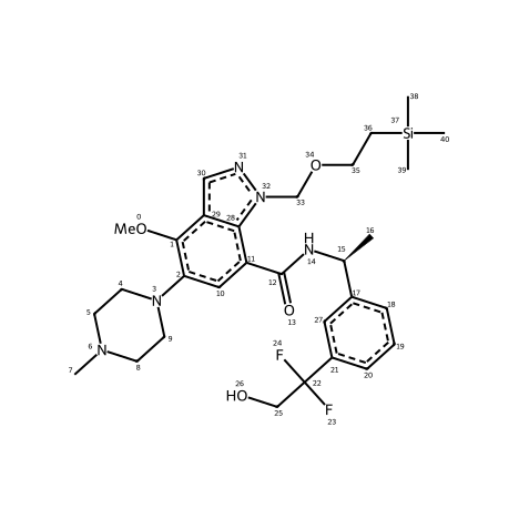 COc1c(N2CCN(C)CC2)cc(C(=O)N[C@@H](C)c2cccc(C(F)(F)CO)c2)c2c1cnn2COCC[Si](C)(C)C